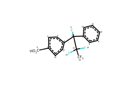 O=C(O)c1ccc(C(F)(c2ccccc2)C(F)(F)C(F)(F)F)cc1